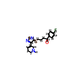 CN1CCC=C(c2nsnc2SCCCC(=O)c2ccc(F)cc2)C1